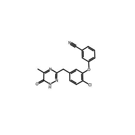 Cc1nc(Cc2ccc(Cl)c(Oc3cccc(C#N)c3)c2)n[nH]c1=O